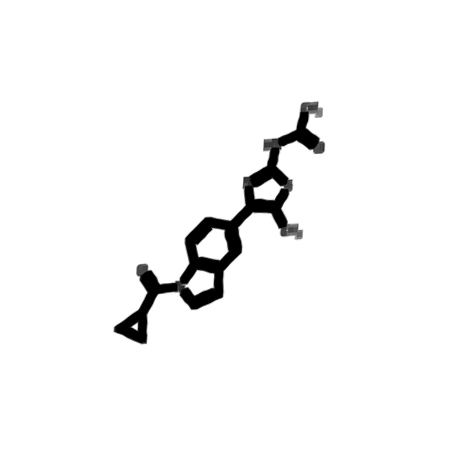 CC(=O)Nc1nc(-c2ccc3c(ccn3C(=O)C3CC3)c2)c(C)s1